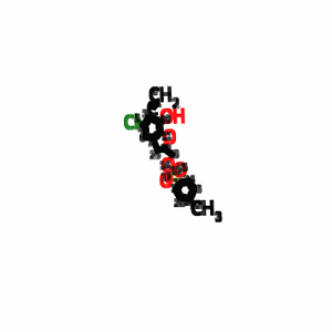 C=CCc1c(Cl)cc2c(c1O)OC(COS(=O)(=O)c1ccc(C)cc1)C2